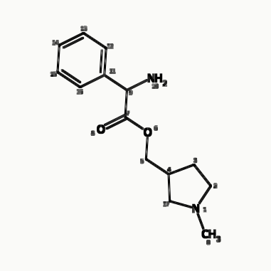 CN1CCC(COC(=O)C(N)c2ccccc2)C1